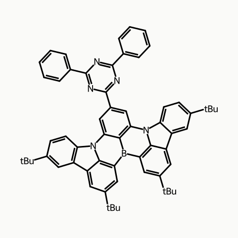 CC(C)(C)c1ccc2c(c1)c1cc(C(C)(C)C)cc3c1n2-c1cc(-c2nc(-c4ccccc4)nc(-c4ccccc4)n2)cc2c1B3c1cc(C(C)(C)C)cc3c4cc(C(C)(C)C)ccc4n-2c13